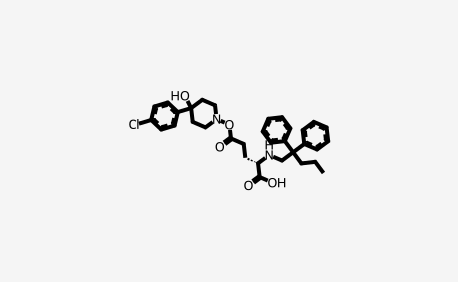 CCCC(CN[C@@H](CCC(=O)ON1CCC(O)(c2ccc(Cl)cc2)CC1)C(=O)O)(c1ccccc1)c1ccccc1